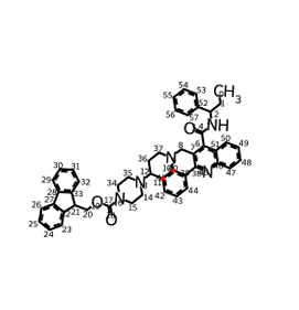 CCC(NC(=O)c1c(CN2CCC(N3CCN(C(=O)OCC4c5ccccc5-c5ccccc54)CC3)CC2)c(-c2ccccc2)nc2ccccc12)c1ccccc1